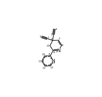 C#CC1(C#C)C=CN=C(c2ccccn2)C1